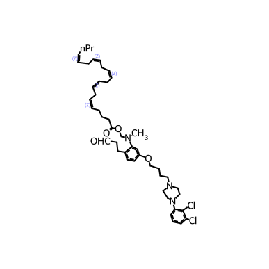 CCC/C=C\C/C=C\C/C=C\C/C=C\C/C=C\CCCC(=O)OCN(C)c1cc(OCCCCN2CCN(c3cccc(Cl)c3Cl)CC2)ccc1CCC=O